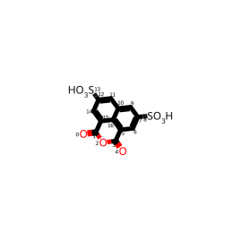 O=C1OC(=O)c2cc(S(=O)(=O)O)cc3cc(S(=O)(=O)O)cc1c23